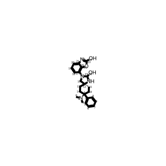 CN(C)[C@]1(c2ccccc2)CC[C@]2(CC1)CN(c1cccc3nc(O)oc13)C(O)N2